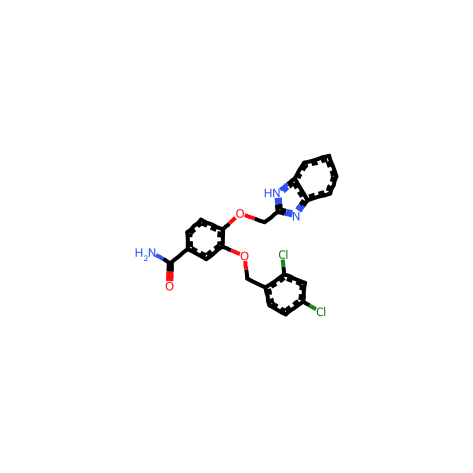 NC(=O)c1ccc(OCc2nc3ccccc3[nH]2)c(OCc2ccc(Cl)cc2Cl)c1